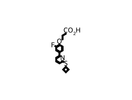 O=C(O)CCCOc1ccc(-c2cccc(SC3CCC3)n2)cc1F